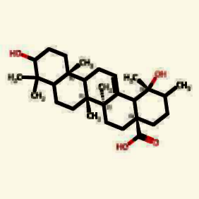 CC1CC[C@]2(C(=O)O)CC[C@]3(C)C(=CCC4[C@@]5(C)CCC(O)C(C)(C)C5CC[C@]43C)C2[C@]1(C)O